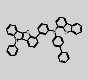 c1ccc(-c2ccc(N(c3cccc(-c4cccc5c4oc4c6ccccc6n(-c6ccccc6)c54)c3)c3cccc4c3oc3ccccc34)cc2)cc1